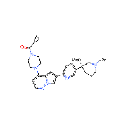 CO[C@@]1(c2ccc(-c3cc4c(N5CCN(C(=O)C6CC6)CC5)ccnn4c3)nc2)CCCN(C(C)C)C1